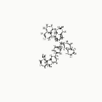 Brc1cccc2oc3ccc(-c4ccc5c(c4)c4c6ccccc6ccc4n5-c4nc(-c5cccc6ccccc56)c5ccccc5n4)cc3c12